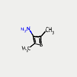 CC1=BC(C)=C1N